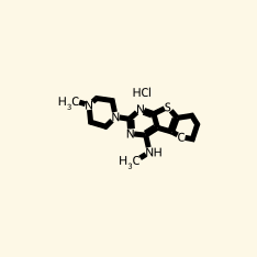 CNc1nc(N2CCN(C)CC2)nc2sc3c(c12)CCCC3.Cl